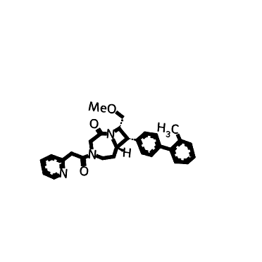 COC[C@@H]1[C@H](c2ccc(-c3ccccc3C)cc2)[C@@H]2CCN(C(=O)Cc3ccccn3)CC(=O)N12